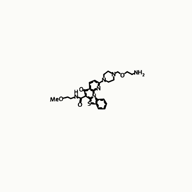 COCCNC(=O)c1c(=O)c2ccc(N3CCN(COCCN)CC3)nc2n2c1sc1ccccc12